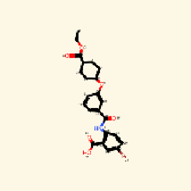 CCOC(=O)C1CCC(Oc2cccc(C(=O)Nc3ccc(Br)cc3C(=O)O)c2)CC1